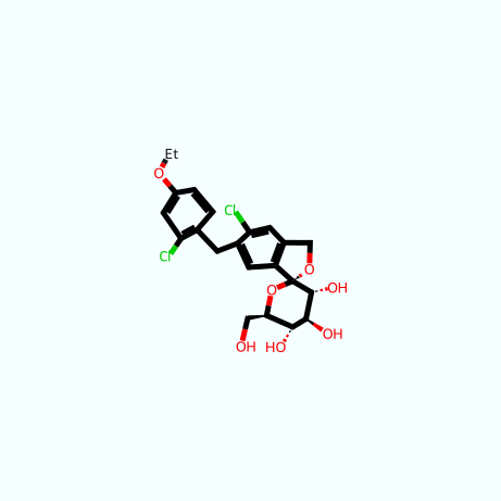 CCOc1ccc(Cc2cc3c(cc2Cl)CO[C@]32O[C@H](CO)[C@@H](O)[C@H](O)[C@H]2O)c(Cl)c1